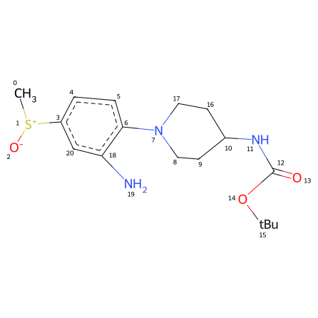 C[S+]([O-])c1ccc(N2CCC(NC(=O)OC(C)(C)C)CC2)c(N)c1